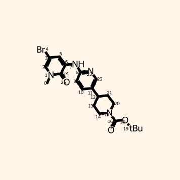 Cn1cc(Br)cc(Nc2ccc(C3CCN(C(=O)OC(C)(C)C)CC3)cn2)c1=O